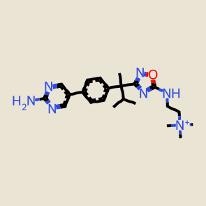 CC(C)C(C)(c1ccc(-c2cnc(N)nc2)cc1)c1noc(NCC[N+](C)(C)C)n1